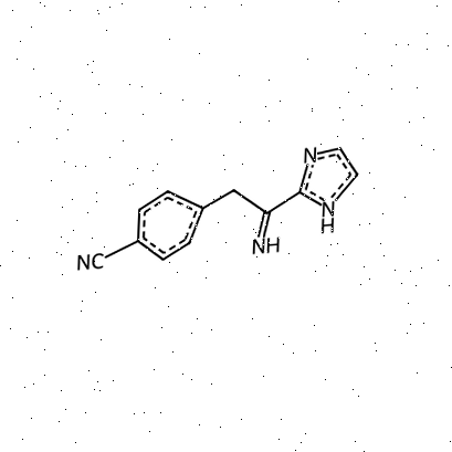 N#Cc1ccc(CC(=N)c2ncc[nH]2)cc1